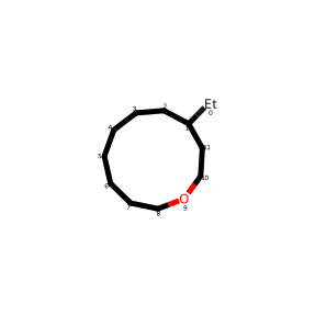 CCC1CCCCCCCOCC1